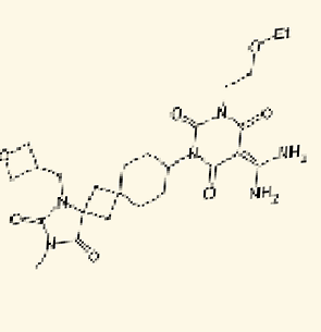 CCOCCN1C(=O)C(=C(N)N)C(=O)N(C2CCC3(CC2)CC2(C3)C(=O)N(C)C(=O)N2CC2COC2)C1=O